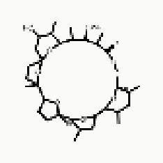 CCC12CCC(O1)C1(C)CCC3(CC(O)C(C)C(O3)C(C)C(OC)C(C)C(=O)OCC3(O)OC(C(C)CC3C)C3CC(C)C2O3)O1